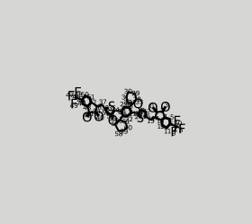 O=C1C(=O)c2cc(C(F)(F)F)ccc2/C1=C/c1cc2c(s1)-c1cc3c(cc1C1(CCCCC1)O2)-c1sc(/C=C2\C(=O)C(=O)c4cc(C(F)(F)F)ccc42)cc1OC31CCCCC1